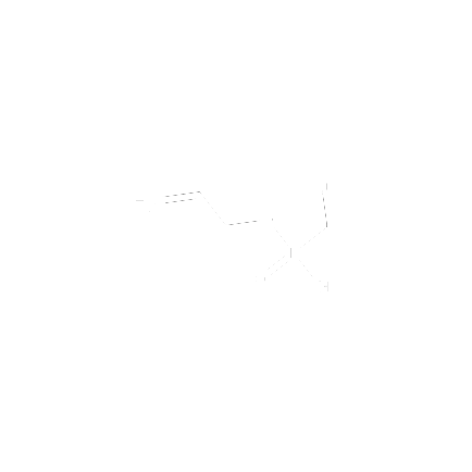 [Li][CH2]P(=O)(O)OCC=C